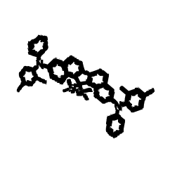 Cc1ccc(N(c2ccccc2)c2ccc3c4c(ccc3c2)-c2ccc3cc(N(c5ccccc5)c5ccc(C)cc5C)ccc3c2C4([Si](C)(C)C)[Si](C)(C)C)c(C)c1